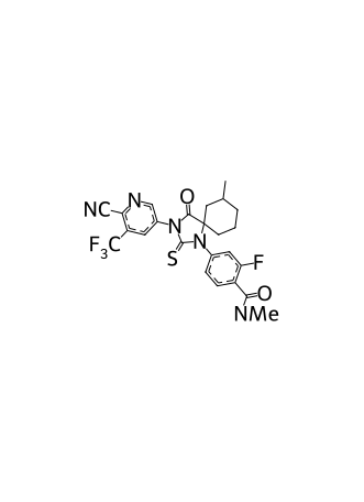 CNC(=O)c1ccc(N2C(=S)N(c3cnc(C#N)c(C(F)(F)F)c3)C(=O)C23CCCC(C)C3)cc1F